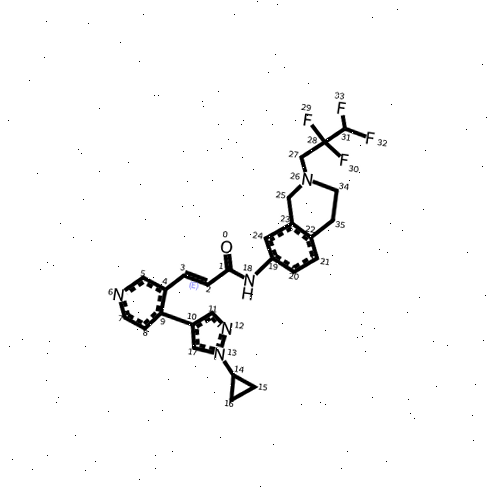 O=C(/C=C/c1cnccc1-c1cnn(C2CC2)c1)Nc1ccc2c(c1)CN(CC(F)(F)C(F)F)CC2